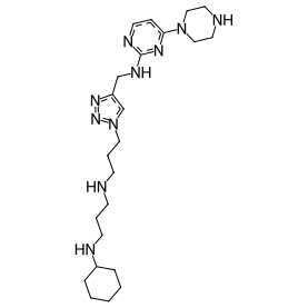 c1cc(N2CCNCC2)nc(NCc2cn(CCCNCCCNC3CCCCC3)nn2)n1